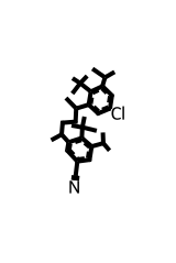 CC(C)c1cc(Cl)cc(C(C)CCC(C)c2cc(C#N)cc(C(C)C)c2C(C)(C)C)c1C(C)(C)C